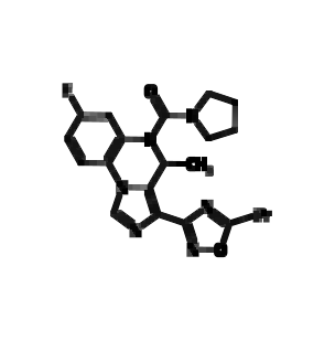 CC(C)c1nc(-c2ncn3c2C(C)N(C(=O)N2CCCC2)c2cc(F)ccc2-3)no1